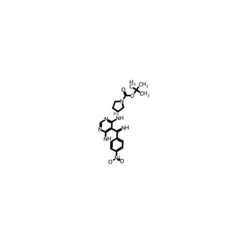 CC(C)(C)OC(=O)N1CC[C@@H](Nc2ncnc(N)c2C(=N)c2ccc([N+](=O)[O-])cc2)C1